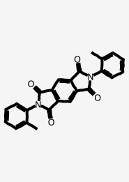 Cc1ccccc1-n1c(=O)c2cc3c(=O)n(-c4ccccc4C)c(=O)c3cc2c1=O